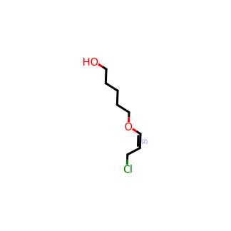 OCCCCCO/C=C\CCl